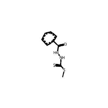 CSC(=S)NNC(=O)c1ccccc1